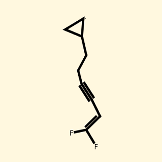 FC(F)=CC#CCCC1[CH]C1